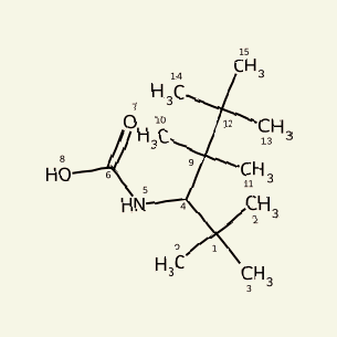 CC(C)(C)C(NC(=O)O)C(C)(C)C(C)(C)C